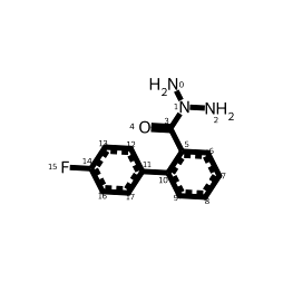 NN(N)C(=O)c1ccccc1-c1ccc(F)cc1